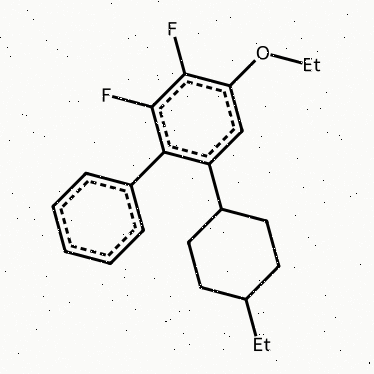 CCOc1cc(C2CCC(CC)CC2)c(-c2ccccc2)c(F)c1F